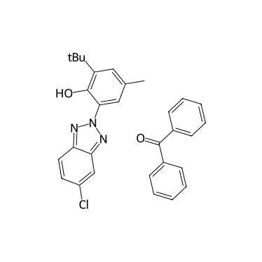 Cc1cc(-n2nc3ccc(Cl)cc3n2)c(O)c(C(C)(C)C)c1.O=C(c1ccccc1)c1ccccc1